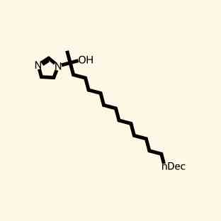 CCCCCCCCCCCCCCCCCCCCCCC(C)(O)N1C=NCC1